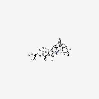 CCN(CC)CCN(C(=O)c1c(C)c(/C=C2\C(=O)N(C(C)(C)C)c3ccc(F)cc32)n(C)c1C)C(C)(C)C